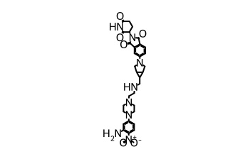 Nc1cc(N2CCN(CCNCC3C4CN(c5ccc6c(c5)C(=O)N(C5CCC(=O)NC5=O)C6=O)CC34)CC2)ccc1[N+](=O)[O-]